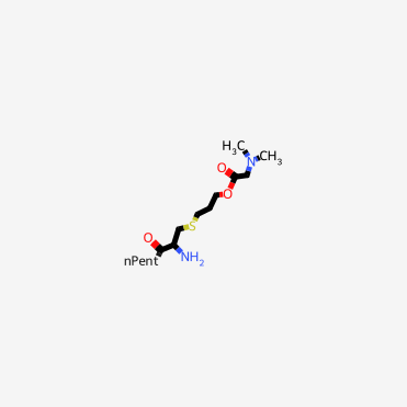 CCCCCC(=O)C(N)CSCCCOC(=O)CN(C)C